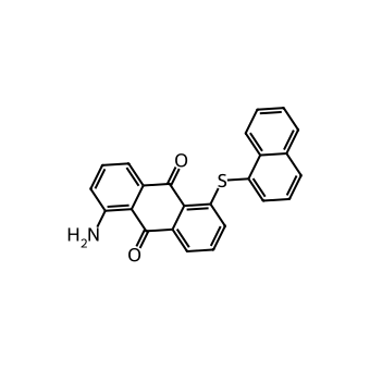 Nc1cccc2c1C(=O)c1cccc(Sc3cccc4ccccc34)c1C2=O